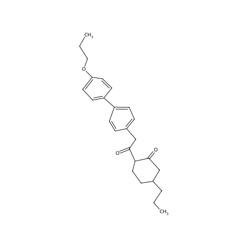 CCCOc1ccc(-c2ccc(CC(=O)C3CCC(CCC)CC3=O)cc2)cc1